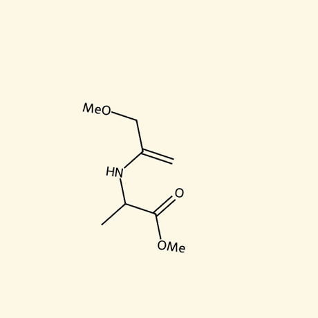 C=C(COC)NC(C)C(=O)OC